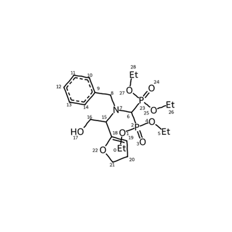 CCOP(=O)(OCC)C(N(Cc1ccccc1)C(CO)C1=CCCO1)P(=O)(OCC)OCC